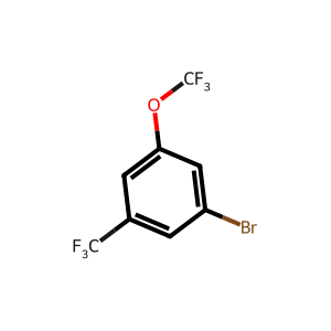 FC(F)(F)Oc1cc(Br)cc(C(F)(F)F)c1